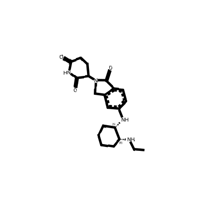 CCN[C@@H]1CCCC[C@@H]1Nc1ccc2c(c1)CN(C1CCC(=O)NC1=O)C2=O